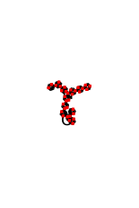 c1ccc(-c2ccc(-c3ccc(N(c4ccc(-c5ccc(-c6cccc(-c7oc8ccccc8c7-c7ccccc7)c6)cc5)cc4)c4ccc(-c5cccc(-c6ccccc6)c5)cc4)cc3)cc2)cc1